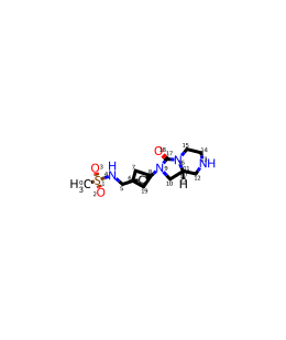 CS(=O)(=O)NCC12CC(N3C[C@H]4CNCCN4C3=O)(C1)C2